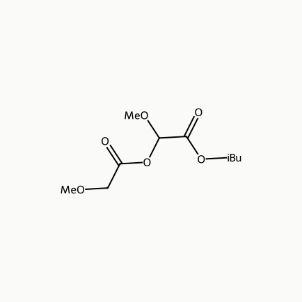 CCC(C)OC(=O)C(OC)OC(=O)COC